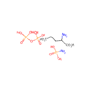 NC(CCC(=O)O)C(=O)O.NP(=O)(O)O.O=P(O)(O)OP(=O)(O)O